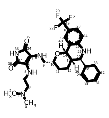 CN(C)CCNC1=C(NC[C@H]2CC[C@@H]3[C@H](O2)c2cc(C(F)(F)F)ccc2N[C@H]3C2C=CC=CC2)C(=O)NC1=O